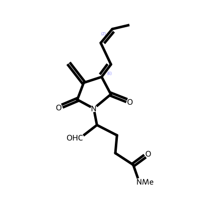 C=C1C(=O)N(C(C=O)CCC(=O)NC)C(=O)/C1=C/C=C\C